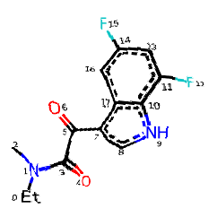 CCN(C)C(=O)C(=O)c1c[nH]c2c(F)cc(F)cc12